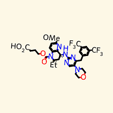 CC[C@@H]1C[C@H](Nc2ncc(N3CCOCC3)c(Cc3cc(C(F)(F)F)cc(C(F)(F)F)c3)n2)c2nc(OC)ccc2N1C(=O)OCCCC(=O)O